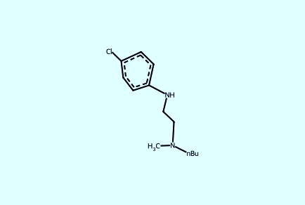 CCCCN(C)CCNc1ccc(Cl)cc1